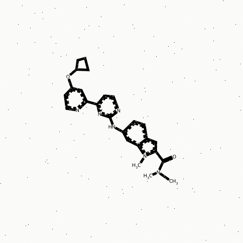 CN(C)C(=O)c1cc2ccc(Nc3nccc(-c4cc(OC5CCC5)ccn4)n3)cc2n1C